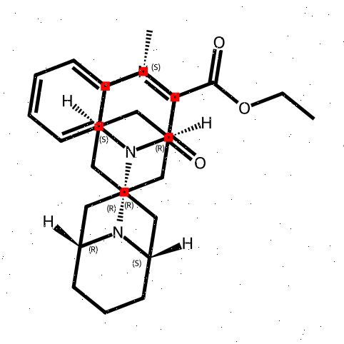 CCOC(=O)c1nc2ccccc2n([C@H]2C[C@H]3CCC[C@@H](C2)N3[C@H]2C[C@@H]3C[C@@H](C)C[C@@H](C3)C2)c1=O